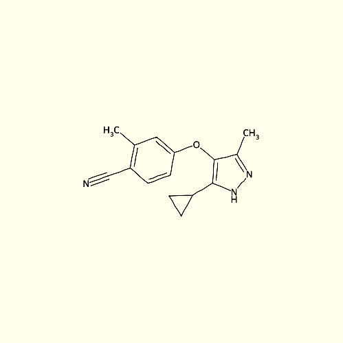 Cc1cc(Oc2c(C)n[nH]c2C2CC2)ccc1C#N